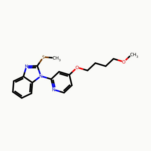 COCCCCOc1ccnc(-n2c(SC)nc3ccccc32)c1